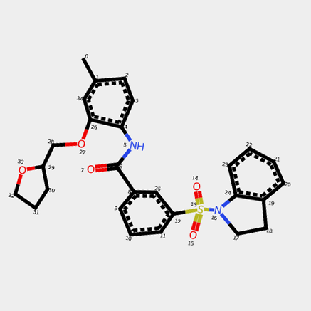 Cc1ccc(NC(=O)c2cccc(S(=O)(=O)N3CCc4ccccc43)c2)c(OCC2CCCO2)c1